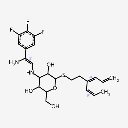 C=C/C=C(\C=C/C)CCSC1OC(CO)C(O)C(N/C=C(\N)c2cc(F)c(F)c(F)c2)C1O